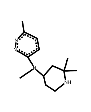 Cc1ccc(N(C)C2CCNC(C)(C)C2)nn1